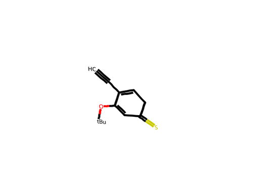 C#CC1=CCC(=S)C=C1OC(C)(C)C